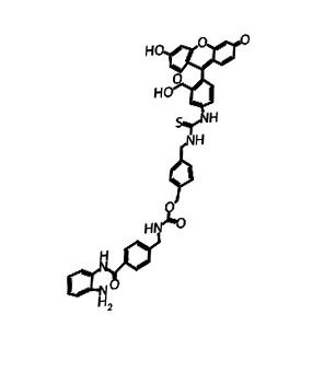 Nc1ccccc1NC(=O)c1ccc(CNC(=O)OCc2ccc(CNC(=S)Nc3ccc(-c4c5ccc(=O)cc-5oc5cc(O)ccc45)c(C(=O)O)c3)cc2)cc1